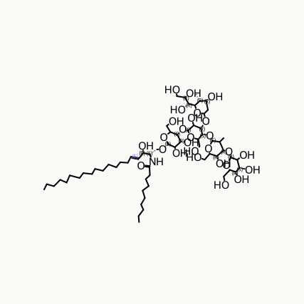 CCCCCCCCCCCCCCC/C=C/[C@@H](O)[C@H](CO[C@@H]1OC(CO)[C@@H](O[C@@H]2OC(CO)[C@H](O[C@@H]3OC(CO)[C@H](O)[C@H](O[C@@H]4OC(CO)[C@H](O)[C@H](O)C4O)C3C)[C@H](OC3C[C@@H](O)[C@@H](C)C([C@H](O)[C@H](O)CO)O3)C2O)[C@H](O)C1O)NC(=O)CCCCCCCCC